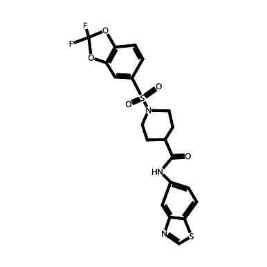 O=C(Nc1ccc2scnc2c1)C1CCN(S(=O)(=O)c2ccc3c(c2)OC(F)(F)O3)CC1